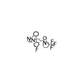 O=C(CCC1(c2ccc(F)cc2)c2ccccc2-c2nccn21)N1CCCC(C(F)(F)F)C1